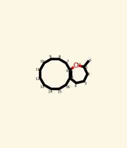 CC1CCCC2=C(CCCCCCCCCC2)O1